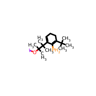 CC(C)(C)C1=C(P)C(C(C)(C)C(C)(C)OI)=CCC1